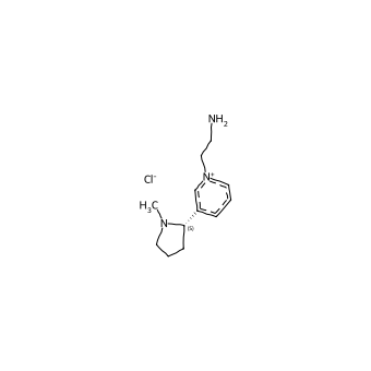 CN1CCC[C@H]1c1ccc[n+](CCN)c1.[Cl-]